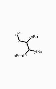 CCCCC[C](C(CCCC)CC(C)C)C(C)(C)C